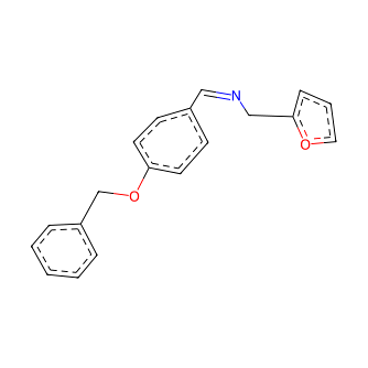 C(=N/Cc1ccco1)/c1ccc(OCc2ccccc2)cc1